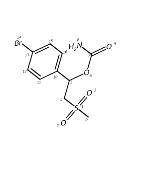 CS(=O)(=O)CC(OC(N)=O)c1ccc(Br)cc1